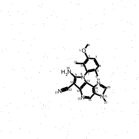 COc1ccc(C)c(-n2c(N)c(C#N)c3ncc4c(ncn4C)c32)c1C